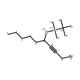 CCCCCC(C#CCBr)O[Si](C)(C)C(C)(C)C